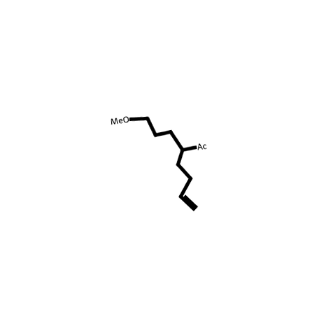 C=CCCC(CCCOC)C(C)=O